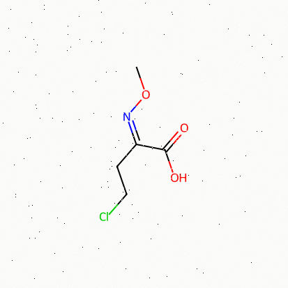 CON=C(CCCl)C(=O)O